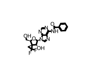 O=C(Nc1ncnc2c1ncn2[C@@H]1O[C@H](CO)[C@]2(CC2(F)F)[C@H]1O)c1ccccc1